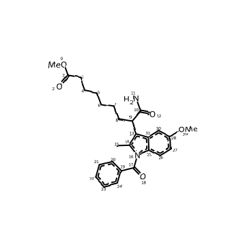 COC(=O)CCCCCCC(C(N)=O)c1c(C)n(C(=O)c2ccccc2)c2ccc(OC)cc12